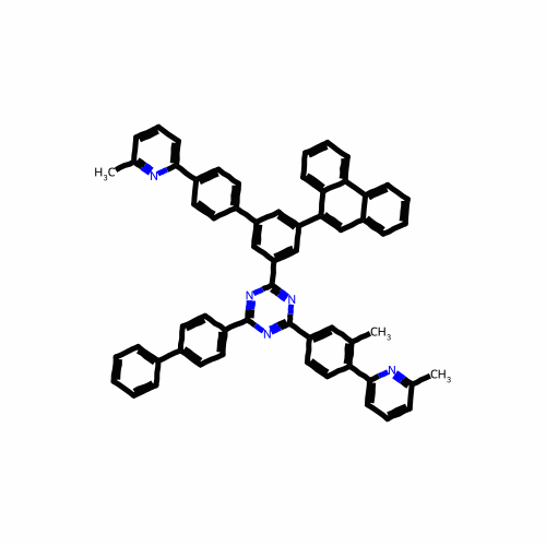 Cc1cccc(-c2ccc(-c3cc(-c4nc(-c5ccc(-c6ccccc6)cc5)nc(-c5ccc(-c6cccc(C)n6)c(C)c5)n4)cc(-c4cc5ccccc5c5ccccc45)c3)cc2)n1